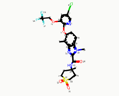 Cc1c(Oc2ncc(Cl)cc2OCC(F)(F)F)ccc2c1nc(C(=O)NC1(C)CCS(=O)(=O)CC1)n2C